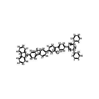 c1ccc(-c2nc(-c3ccccc3)nc(-c3ccc4c(c3)oc3cc(-c5ccc6c(c5)sc5cc(-n7c8ccccc8c8ccccc87)ccc56)ccc34)n2)cc1